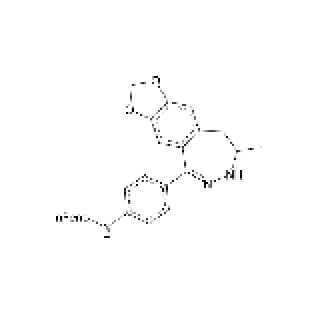 CCCCCNc1ccc(C2=NNC(C)Cc3cc4c(cc32)OCO4)cc1